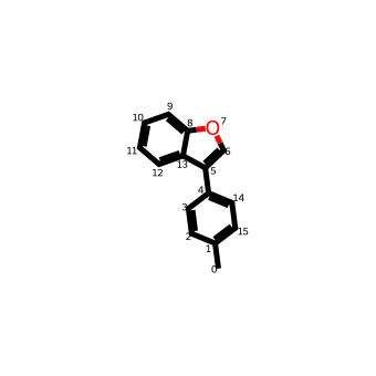 Cc1ccc(-c2coc3ccccc23)cc1